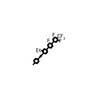 CCc1cc(-c2ccc(-c3cc(F)c(C(F)(F)F)c(F)c3)c(F)c2)ccc1C#Cc1ccc(C)cc1